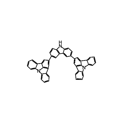 c1ccc2c(c1)c1cc(-c3ccc4[nH]c5ccc(-c6cc7c8ccccc8n8c9ccccc9c(c6)c78)cc5c4c3)cc3c4ccccc4n2c13